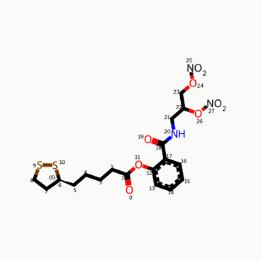 O=C(CCCC[C@H]1CCSS1)Oc1ccccc1C(=O)NCC(CO[N+](=O)[O-])O[N+](=O)[O-]